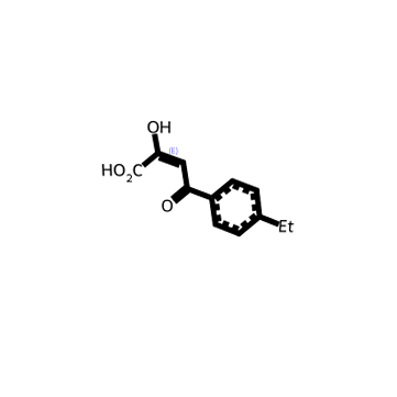 CCc1ccc(C(=O)/C=C(/O)C(=O)O)cc1